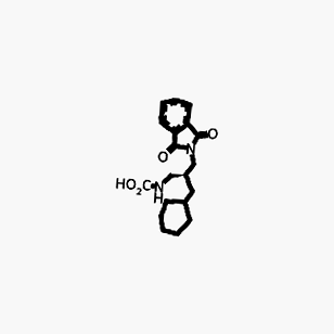 O=C(O)NC[C@H](CC1CCCCC1)CN1C(=O)c2ccccc2C1=O